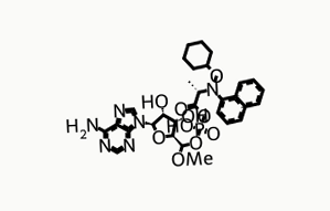 COC(OP(=O)(O)OC(=O)[C@H](C)N(OC1CCCCC1)c1cccc2ccccc12)[C@H]1O[C@@H](n2cnc3c(N)ncnc32)[C@H](O)[C@@H]1O